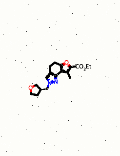 CCOC(=O)c1oc2c(c1C)-c1nn(C[C@H]3CCOC3)cc1CC2